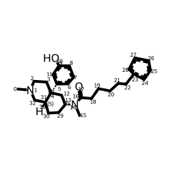 CN1CC[C@@]2(c3cccc(O)c3)C[C@H](N(C)C(=O)CCCCCc3ccccc3)CC[C@@H]2C1